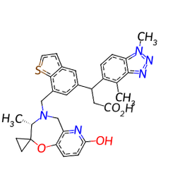 Cc1c(C(CC(=O)O)c2cc(CN3Cc4nc(O)ccc4OC4(CC4)[C@@H]3C)c3sccc3c2)ccc2c1nnn2C